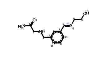 NC(=O)CNCc1cc(/C=N/CCO)ccn1